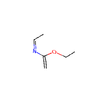 C=C(/N=C\C)OCC